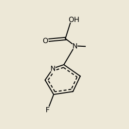 CN(C(=O)O)c1ccc(F)cn1